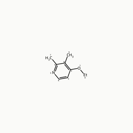 CCOc1ccnc(C)c1C